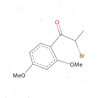 COc1ccc(C(=O)C(C)Br)c(OC)c1